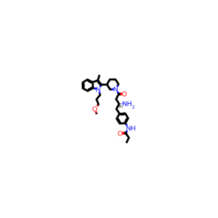 CCC(=O)Nc1ccc(C[C@@H](N)CC(=O)N2CCCC(c3c(C)c4ccccc4n3CCCOC)C2)cc1